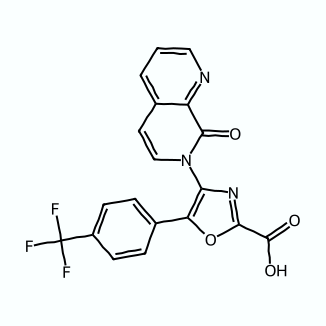 O=C(O)c1nc(-n2ccc3cccnc3c2=O)c(-c2ccc(C(F)(F)F)cc2)o1